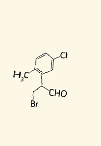 Cc1ccc(Cl)cc1C(C=O)CBr